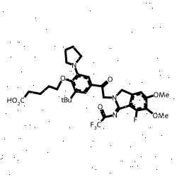 COc1cc2c(c(F)c1OC)C(=NC(=O)C(F)(F)F)N(CC(=O)c1cc(N3CCCC3)c(OCCCCC(=O)O)c(C(C)(C)C)c1)C2